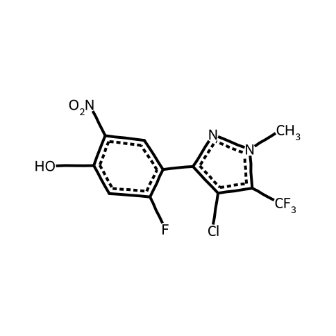 Cn1nc(-c2cc([N+](=O)[O-])c(O)cc2F)c(Cl)c1C(F)(F)F